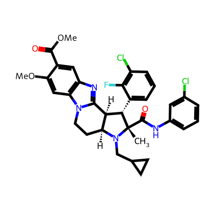 COC(=O)c1cc2nc3n(c2cc1OC)CC[C@H]1[C@@H]3[C@H](c2cccc(Cl)c2F)[C@](C)(C(=O)Nc2cccc(Cl)c2)N1CC1CC1